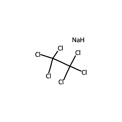 ClC(Cl)(Cl)C(Cl)(Cl)Cl.[NaH]